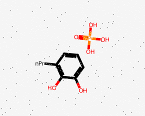 CCCc1cccc(O)c1O.O=P(O)(O)O